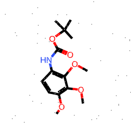 COc1ccc(NC(=O)OC(C)(C)C)c(OC)c1OC